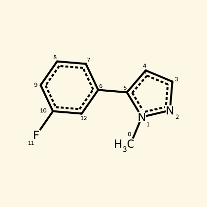 Cn1nc[c]c1-c1cccc(F)c1